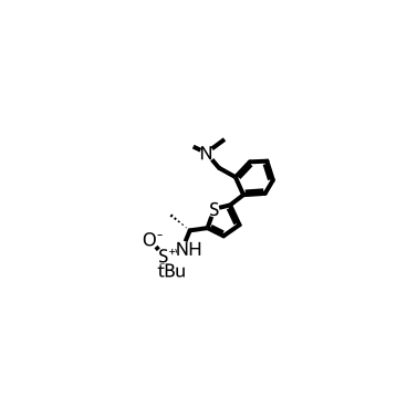 C[C@@H](N[S+]([O-])C(C)(C)C)c1ccc(-c2ccccc2CN(C)C)s1